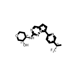 C[C@@H](c1ccc(-c2ccc3cnc(N[C@@H]4CCOC[C@H]4O)nn23)nc1)C(F)(F)F